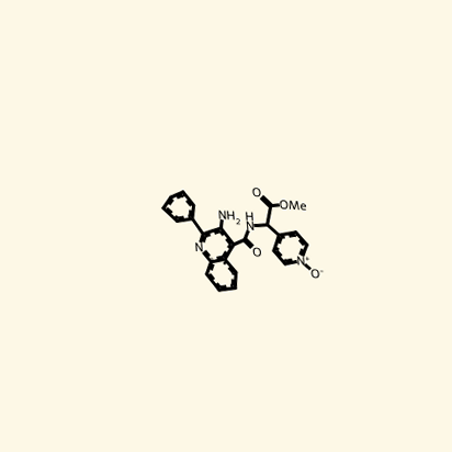 COC(=O)C(NC(=O)c1c(N)c(-c2ccccc2)nc2ccccc12)c1cc[n+]([O-])cc1